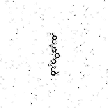 O=C(Cc1cccc(Cl)c1)Nc1ccc([C@H]2CCC[C@H](c3ccc(NC(=O)Cc4cccc(Cl)c4)nn3)C2)nn1